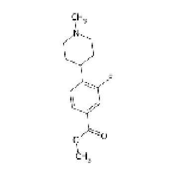 COC(=O)c1ccc(C2CCN(C)CC2)c(F)c1